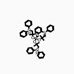 CC(C)(C[SiH](c1ccccc1)c1ccccc1)OP(=O)(OC(C)(C)C[SiH](c1ccccc1)c1ccccc1)OC(C)(C)C[SiH](c1ccccc1)c1ccccc1